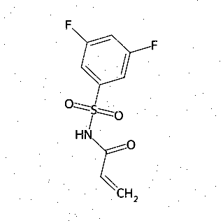 C=CC(=O)NS(=O)(=O)c1cc(F)cc(F)c1